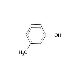 Cc1cc#cc(O)c1